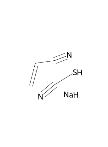 C=CC#N.N#CS.[NaH]